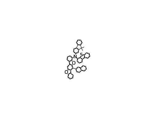 CC1(C)c2ccccc2-c2ccc(N(c3cccc4c3oc3c(-c5ccc6ccccc6c5)c5c(cc34)oc3ccccc35)c3cccc4c3sc3ccccc34)cc21